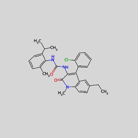 CCc1ccc2c(c1)c(-c1ccccc1Cl)c(NC(=O)Nc1c(C)cccc1C(C)C)c(=O)n2C